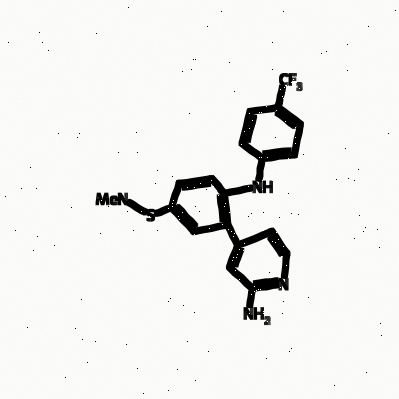 CNSc1ccc(Nc2ccc(C(F)(F)F)cc2)c(-c2ccnc(N)c2)c1